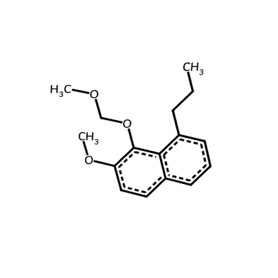 CCCc1cccc2ccc(OC)c(OCOC)c12